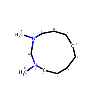 CN1CCCCCCCCN(C)C1